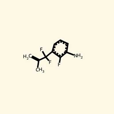 C=C(C)C(F)(F)c1cccc(N)c1F